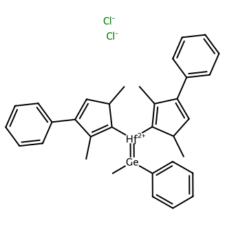 CC1=[C]([Hf+2]([C]2=C(C)C(c3ccccc3)=CC2C)=[Ge]([CH3])[c]2ccccc2)C(C)C=C1c1ccccc1.[Cl-].[Cl-]